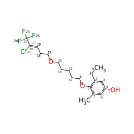 CCc1cc(O)cc(C)c1OCCCCCOCC/C=C(\Cl)C(F)(F)F